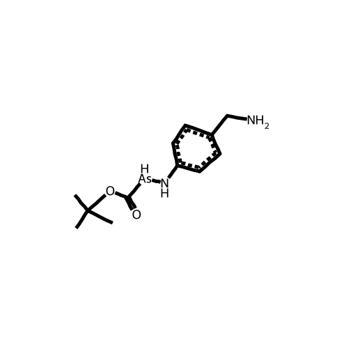 CC(C)(C)OC(=O)[AsH]Nc1ccc(CN)cc1